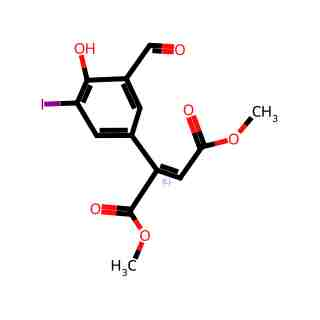 COC(=O)/C=C(/C(=O)OC)c1cc(I)c(O)c(C=O)c1